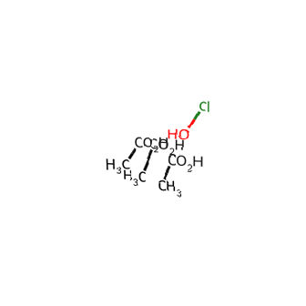 CC(=O)O.CC(=O)O.CC(=O)O.OCl